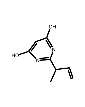 C=CC(C)c1nc(O)cc(O)n1